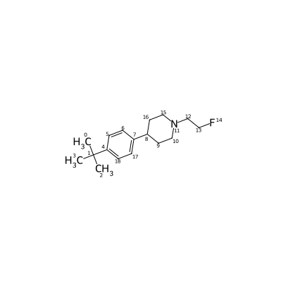 CC(C)(C)c1ccc(C2CCN(CCF)CC2)cc1